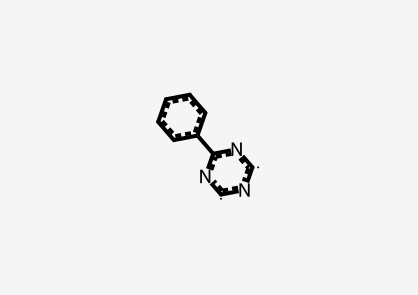 [c]1n[c]nc(-c2ccccc2)n1